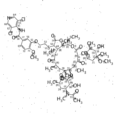 CC[C@H]1OC(=O)[C@H](C)[C@@H](O[C@H]2C[C@@](C)(OC)[C@@H](O)[C@H](C)O2)[C@H](C)[C@@H](O[C@@H]2O[C@H](C)C[C@H](N(C)C(C)=O)[C@H]2O)[C@](C)(OC)C[C@@H](C)C(=O)[C@H](C)[C@H]2C(SCCOc3cc(C(=O)Nc4c(Cl)cncc4Cl)ccc3OC)C(=O)O[C@@]21C